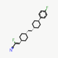 N#CC(F)=C[C@H]1CC[C@H](CC[C@H]2CC[C@H](c3ccc(F)cc3)CC2)CC1